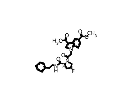 COC(=O)c1ccc2c(c1)c(C(C)=O)cn2CC(=O)N1C[C@H](F)C[C@H]1C(=O)NCCc1ccccc1